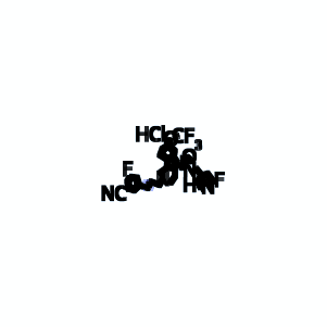 Cl.N#Cc1cc(F)cc(/C=C/CN2CCc3c(c4ccc(OC(F)(F)F)cc4n3C(=O)NCc3ccnc(F)c3)C2)c1